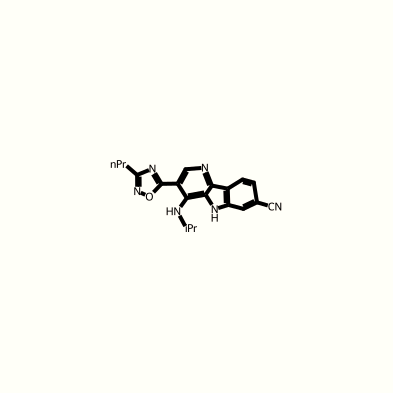 CCCc1noc(-c2cnc3c([nH]c4cc(C#N)ccc43)c2NC(C)C)n1